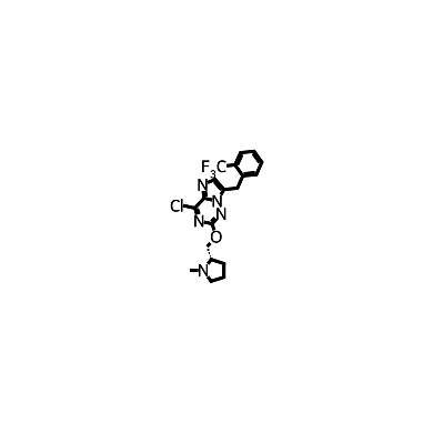 CN1CCC[C@H]1COc1nc(Cl)c2ncc(Cc3ccccc3C(F)(F)F)n2n1